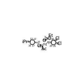 CCOP(C)(=O)C(CCN(OCc1ccc(C(C)C)cc1)C(C)=O)c1ccc(Cl)c(Cl)c1